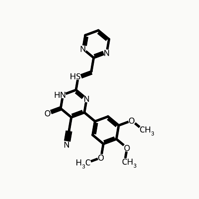 COc1cc(-c2nc([SH]=Cc3ncccn3)[nH]c(=O)c2C#N)cc(OC)c1OC